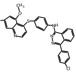 COc1cc(F)cc2nccc(Sc3ccc(Nc4nnc(-c5ccc(Cl)cc5)c5ccccc45)cc3)c12